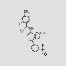 O=C(NC(c1ccc(C(F)(F)F)cc1F)C1CC1)[C@H]1C[C@H](F)CN1C(=O)c1cccc(C2(F)COC2)c1